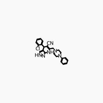 N#CC1=C(CN2CCN(c3ccccc3)CC2)Nc2n[nH]cc2C1c1ccccc1Cl